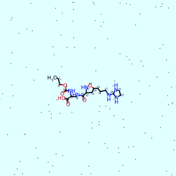 CCCOC(=O)NC(CNC(=O)C1CC(CCCNC2NCCN2)ON1)C(=O)O